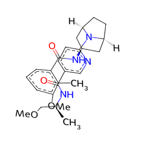 COC[C@H](C)NC(=O)c1ccc(N2[C@@H]3CC[C@H]2C[C@@H](NC(=O)c2cccc(OC)c2C)C3)nc1